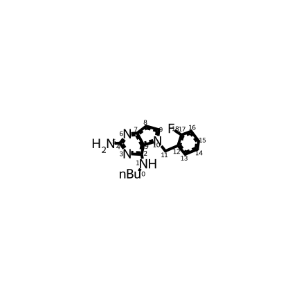 CCCCNc1nc(N)nc2ccn(Cc3ccccc3F)c12